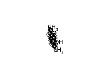 CC1CCC(N2C(=O)c3ccc4c5c(ccc(c35)C2=O)C(O)N(C2CCC(C)CC2)C4=O)CC1